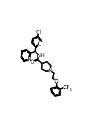 O=C(N[C@H](c1ccc(Cl)cc1)c1ccccn1)C1CCN(CCOc2ccccc2C(F)(F)F)CC1